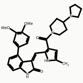 COc1ccc(-c2cccc3c2/C(=C/c2[nH]c(C)cc2C(=O)N2CCC(N4CCCC4)CC2)C(=O)N3)cc1OC